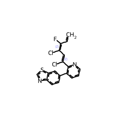 C=C/C(F)=C(Cl)\C=C(/Cl)c1ncccc1-c1ccc2ncsc2c1